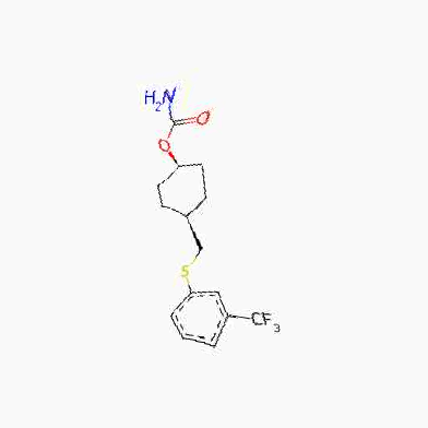 NC(=O)O[C@H]1CC[C@@H](CSc2cccc(C(F)(F)F)c2)CC1